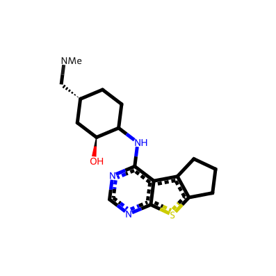 CNC[C@@H]1CCC(Nc2ncnc3sc4c(c23)CCC4)[C@@H](O)C1